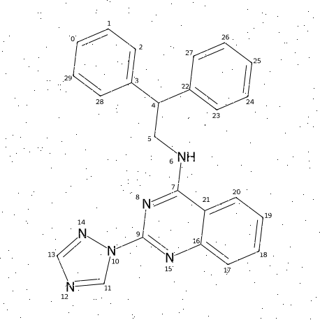 c1ccc(C(CNc2nc(-n3cncn3)nc3ccccc23)c2ccccc2)cc1